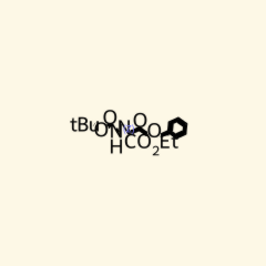 CCOC(=O)/C(=N\NC(=O)OC(C)(C)C)C(=O)COCc1ccccc1